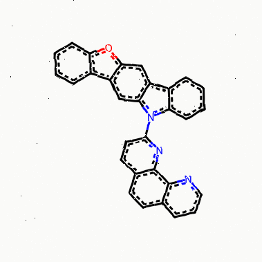 c1cnc2c(c1)ccc1ccc(-n3c4ccccc4c4cc5oc6ccccc6c5cc43)nc12